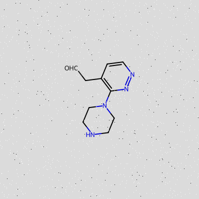 O=CCc1ccnnc1N1CCNCC1